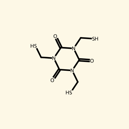 O=c1n(CS)c(=O)n(CS)c(=O)n1CS